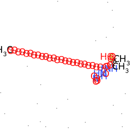 COCCOCCOCCOCCOCCOCCOCCOCCOCCOCCOCCOCCOCCOCCOCCOCCOCCOCCOCCOCCOCCOCCOCCOCCNC(=O)C(CCC(=O)NCCCCCC(=O)ON1C(=O)CCC1=O)NC(=O)COc1cc(C)c2ccc3c(C)cc(S(=O)(=O)O)c4ccc1c2c34